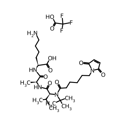 CC(C)[C@@H](C(=O)N[C@@H](C)C(=O)N[C@@H](CCCCN)C(=O)O)N(C(=O)CCCCCN1C(=O)C=CC1=O)C(C)(C)C.O=C(O)C(F)(F)F